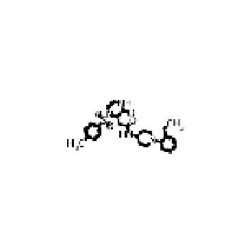 CCc1ccccc1N1CCC(NC(=O)C[C@@H]2C(=O)NC=CN2S(=O)(=O)c2ccc(C)cc2)CC1